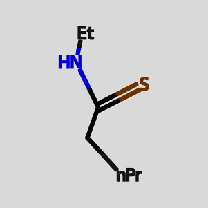 CCCCC(=S)NCC